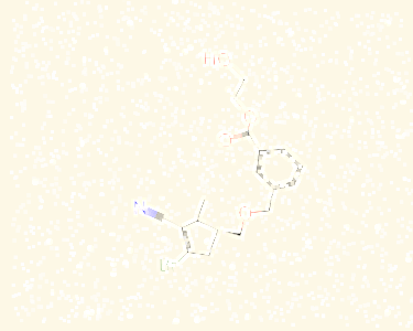 CC1C(C#N)=C(Br)C[C@@H]1COCc1cccc(C(=O)OCCO)c1